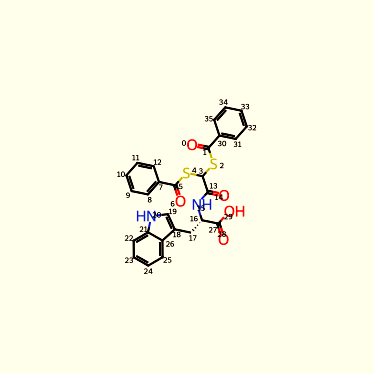 O=C(SC(SC(=O)c1ccccc1)C(=O)N[C@@H](Cc1c[nH]c2ccccc12)C(=O)O)c1ccccc1